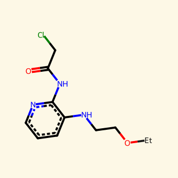 CCOCCNc1cccnc1NC(=O)CCl